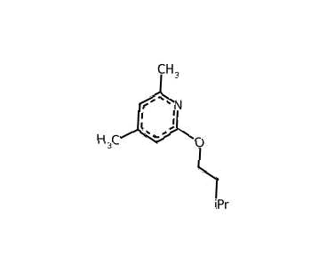 Cc1cc(C)nc(OCCC(C)C)c1